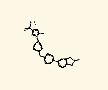 Cc1cc(C(N)=O)nn1-c1ccc(Cc2ccc(-c3ccc4c(c3)CN(C)C4)cc2)cc1